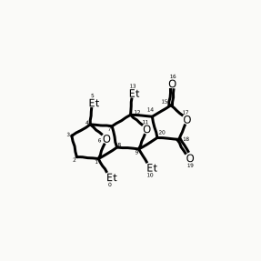 CCC12CCC(CC)(O1)C1C2C2(CC)OC1(CC)C1C(=O)OC(=O)C12